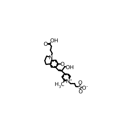 Cc1cc(C2=Cc3cc4c(cc3OC2O)N(CCCC(=O)O)CCC4)cc[n+]1CCCS(=O)(=O)[O-]